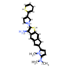 CN(C)c1ccc(C2=Cc3cc4c(N)c(N5CC=C(C6=CCC=CS6)C5)sc4cc3C2)n1C